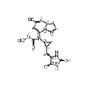 CC(C)(C)OC(=O)N(c1cc(Cl)nc2ccnn12)C1CC1C=C1NC(=O)NC1=O